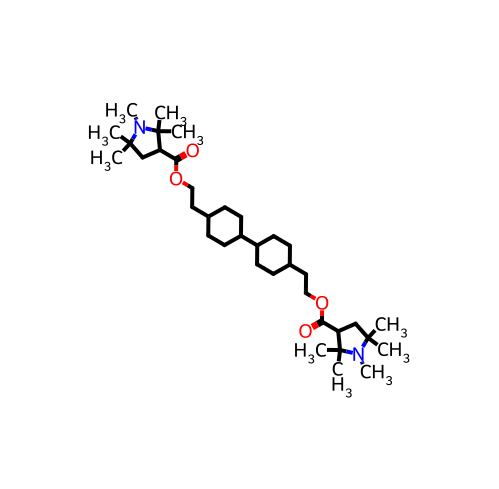 CN1C(C)(C)CC(C(=O)OCCC2CCC(C3CCC(CCOC(=O)C4CC(C)(C)N(C)C4(C)C)CC3)CC2)C1(C)C